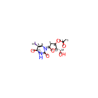 CC(=O)OC1C[C@@H](n2cc(I)c(=O)[nH]c2=O)O[C@H]1CO